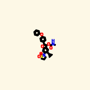 CNC(=O)Oc1c(-c2ccc(Oc3ccccc3)cc2)oc2cc(N3CCCS3(=O)=O)c(C3CC3)cc12